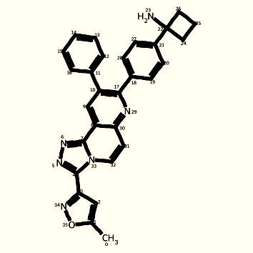 Cc1cc(-c2nnc3c4cc(-c5ccccc5)c(-c5ccc(C6(N)CCC6)cc5)nc4ccn23)no1